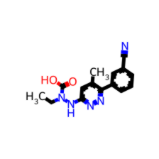 CCN(Nc1cc(C)c(-c2cccc(C#N)c2)nn1)C(=O)O